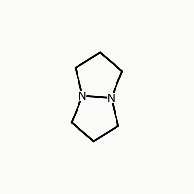 C1CN2CCCN2C1